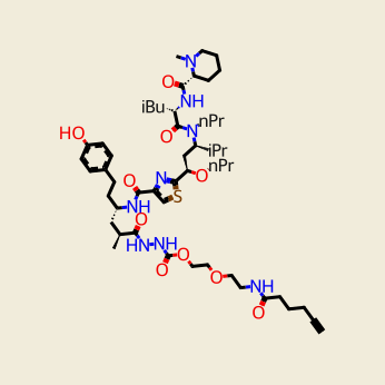 C#CCCCC(=O)NCCOCCOC(=O)NNC(=O)[C@@H](C)C[C@H](CCc1ccc(O)cc1)NC(=O)c1csc([C@@H](C[C@H](C(C)C)N(CCC)C(=O)[C@@H](NC(=O)[C@H]2CCCCN2C)[C@@H](C)CC)OCCC)n1